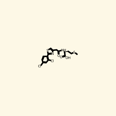 CSCC[C@H](NC(=O)Cc1csc(-c2ccc(Cl)cc2Cl)n1)C(=O)O